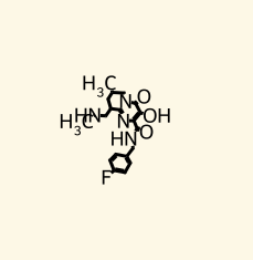 CNCC1CC(C)Cn2c1nc(C(=O)NCc1ccc(F)cc1)c(O)c2=O